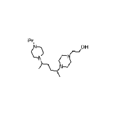 CC(C)N1CCN(C(C)CCC(C)N2CCN(CCO)CC2)CC1